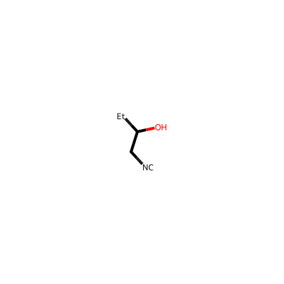 [C-]#[N+]CC(O)CC